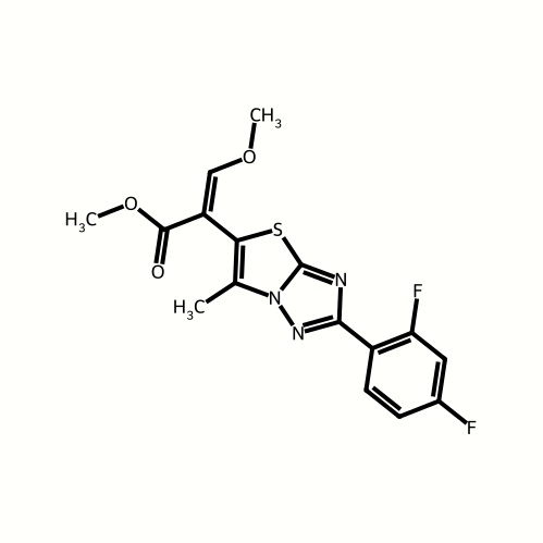 CO/C=C(/C(=O)OC)c1sc2nc(-c3ccc(F)cc3F)nn2c1C